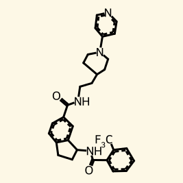 O=C(NCCC1CCN(c2ccncc2)CC1)c1ccc2c(c1)C(NC(=O)c1ccccc1C(F)(F)F)CC2